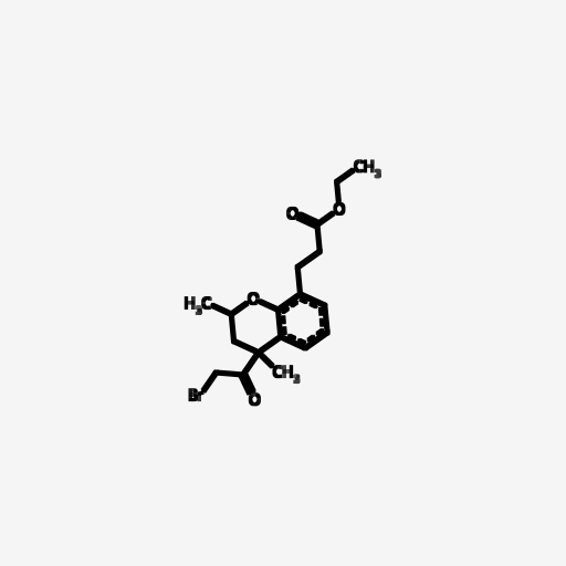 CCOC(=O)CCc1cccc2c1OC(C)CC2(C)C(=O)CBr